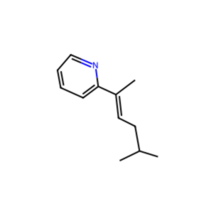 C/C(=C\CC(C)C)c1ccccn1